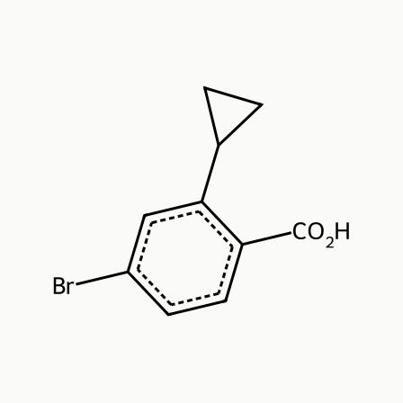 O=C(O)c1ccc(Br)cc1C1CC1